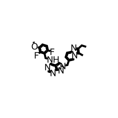 CCc1nc2ccc(Cn3cc4c(NCc5c(F)ccc(OC)c5F)ncnc4n3)cn2c1C